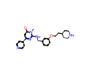 Cn1c(NCc2cccc(OCCC3CCNCC3)c2)nc(-c2ccncc2)cc1=O